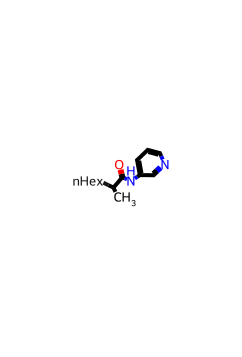 CCCCCCC(C)C(=O)Nc1cccnc1